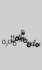 O=C(O)CNC(=O)c1ccc2c(c1)nc(CN1CCC(c3cccc(OCc4ccc(Cl)cc4F)n3)CC1)n2C[C@@H]1CCO1